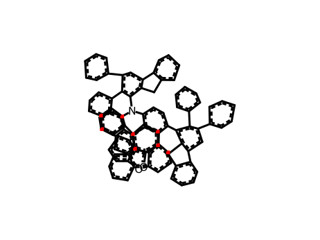 c1ccc(-c2cc3c(c(-c4ccc(N(c5ccccc5-c5cccc6oc7ccccc7c56)c5c6c(cc(-c7ccccc7)c5-c5ccccc5)-c5ccccc5C6)c(-c5cccc6ccccc56)c4-c4cccc5oc6ccccc6c45)c2-c2ccccc2)Cc2ccccc2-3)cc1